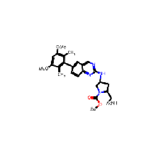 COc1cc(OC)c(C)c(-c2ccc3nc(NC4CC(CNC(C)=O)N(C(=O)OC(C)(C)C)C4)ncc3c2)c1C